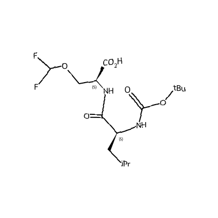 CC(C)C[C@H](NC(=O)OC(C)(C)C)C(=O)N[C@@H](COC(F)F)C(=O)O